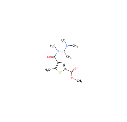 COC(=O)c1cc(C(=O)N(C)C(C)N(C)C)c(C)s1